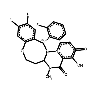 CN1C(=O)c2c(O)c(=O)ccn2N2C1CCOc1cc(F)c(F)cc1[C@@H]2c1ccccc1F